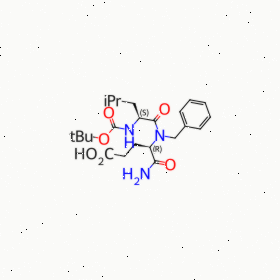 CC(C)C[C@H](NC(=O)OC(C)(C)C)C(=O)N(Cc1ccccc1)[C@H](CCC(=O)O)C(N)=O